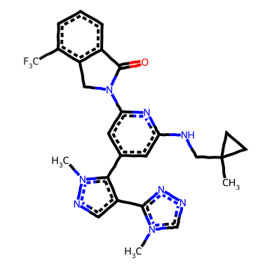 Cn1cnnc1-c1cnn(C)c1-c1cc(NCC2(C)CC2)nc(N2Cc3c(cccc3C(F)(F)F)C2=O)c1